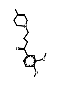 COc1ccc(C(=O)CCCN2CC=C(C)CC2)cc1OC